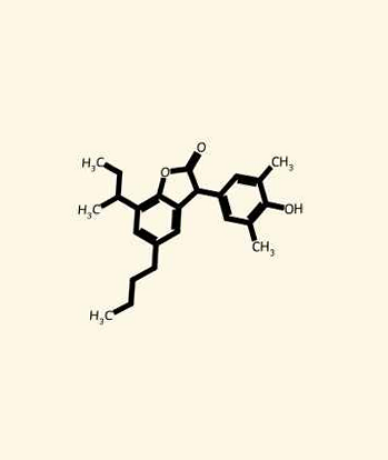 CCCCc1cc(C(C)CC)c2c(c1)C(c1cc(C)c(O)c(C)c1)C(=O)O2